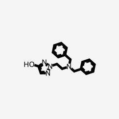 Oc1cnn(CCN(Cc2ccccc2)Cc2ccccc2)n1